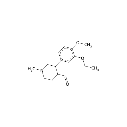 CCOc1cc(C2CN(C)CCC2C=O)ccc1OC